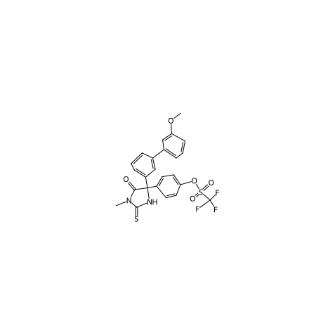 COc1cccc(-c2cccc(C3(c4ccc(OS(=O)(=O)C(F)(F)F)cc4)NC(=S)N(C)C3=O)c2)c1